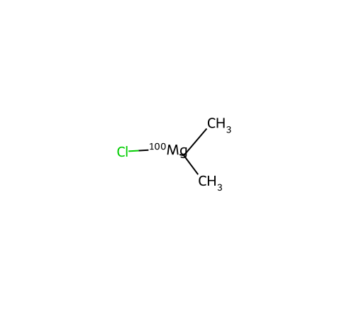 C[CH](C)[100Mg][Cl]